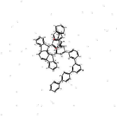 c1ccc(-c2ccc(-c3cccc(-c4cccc(-c5nc(-c6ccccc6)nc(-n6c7ccccc7c7ccc8c9ccccc9n(-c9cccc(-c%10ccccc%10)c9)c8c76)n5)c4)c3)cc2)cc1